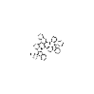 CC1(C)c2ccccc2-c2c1c1cccc3c1n2B1c2cccc4c2N(c2ccccc2C4(c2ccccc2)c2ccccc2)c2cc4ccccc4c-3c21